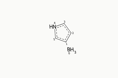 B.c1cc[nH]c1